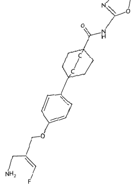 NCC(=CF)COc1ccc(C23CCC(C(=O)Nc4ncco4)(CC2)CC3)cc1